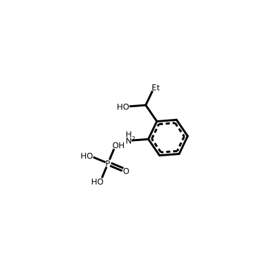 CCC(O)c1ccccc1N.O=P(O)(O)O